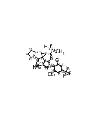 CN(C)C=Nc1c(C2(C(=O)N3CCCC3)CC2)c(C#N)nn1-c1c(Cl)cc(C(F)(F)F)cc1Cl